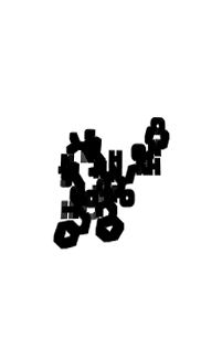 CC(C)c1nc(CN(C)C(=O)N[C@@H](CCNC(=O)CN2CCOCC2)C(=O)N[C@H](CC[C@H](Cc2ccccc2)NC(=O)OCc2cncs2)Cc2ccccc2)cs1